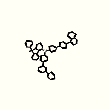 CC1(c2ccccc2)c2ccccc2-c2c(N(c3ccc(-c4ccc(-c5cccc6ccccc56)cc4)cc3)c3ccc(-c4cccc(-c5ccccc5)c4)cc3)cccc21